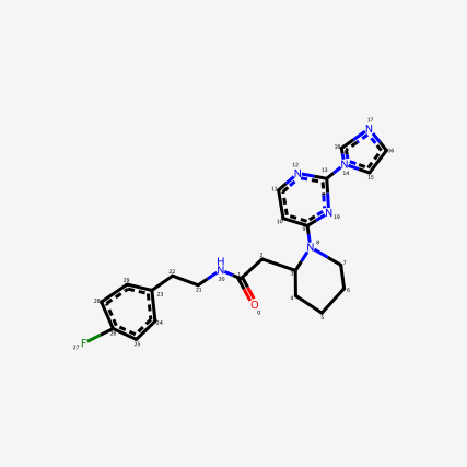 O=C(CC1CCCCN1c1ccnc(-n2ccnc2)n1)NCCc1ccc(F)cc1